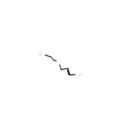 [CH2]CCCCOC/C=C/C